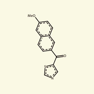 COc1ccc2cc(C(=O)c3cncs3)ccc2c1